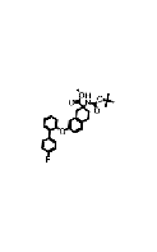 COC(=O)C1(NC(=O)OC(C)(C)C)CCc2ccc(Oc3ccccc3-c3ccc(F)cc3)cc2C1